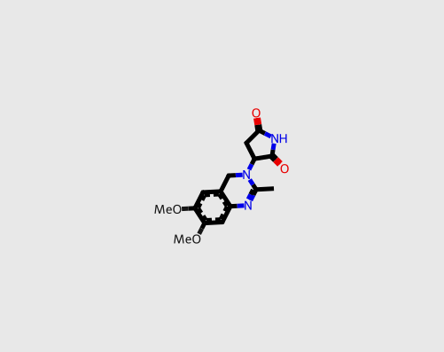 COc1cc2c(cc1OC)N=C(C)N(C1CC(=O)NC1=O)C2